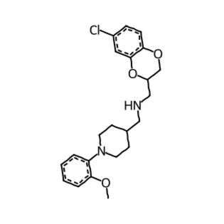 COc1ccccc1N1CCC(CNCC2COc3ccc(Cl)cc3O2)CC1